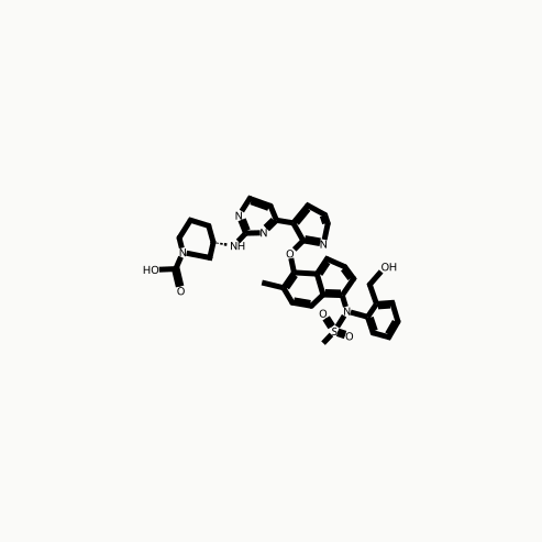 Cc1ccc2c(N(c3ccccc3CO)S(C)(=O)=O)cccc2c1Oc1ncccc1-c1ccnc(N[C@H]2CCCN(C(=O)O)C2)n1